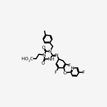 Cc1ccc(Cn2c(=O)n(CCC(=O)O)c(=O)[nH]/c2=N\C2C=C(F)C(Oc3ccc(F)cn3)=C(F)C2)cc1